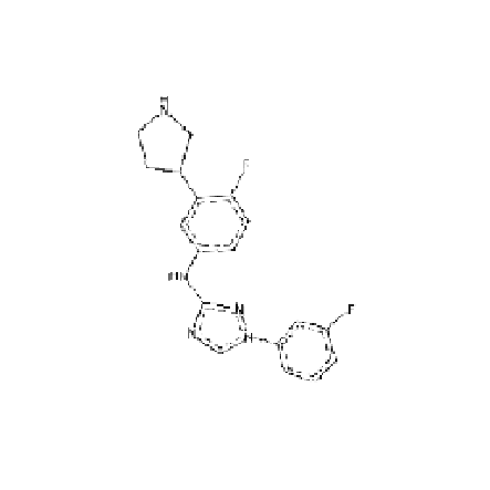 Fc1cccc(-n2cnc(Nc3ccc(F)c(C4CCNC4)c3)n2)c1